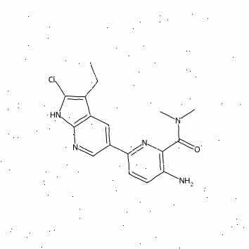 CCc1c(Cl)[nH]c2ncc(-c3ccc(N)c(C(=O)N(C)C)n3)cc12